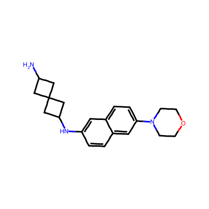 NC1CC2(C1)CC(Nc1ccc3cc(N4CCOCC4)ccc3c1)C2